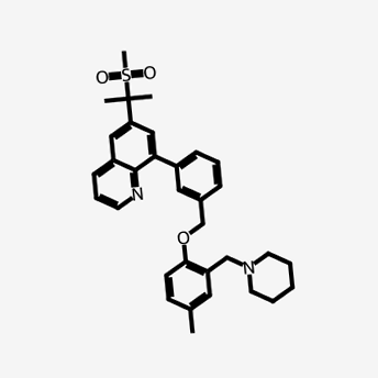 Cc1ccc(OCc2cccc(-c3cc(C(C)(C)S(C)(=O)=O)cc4cccnc34)c2)c(CN2CCCCC2)c1